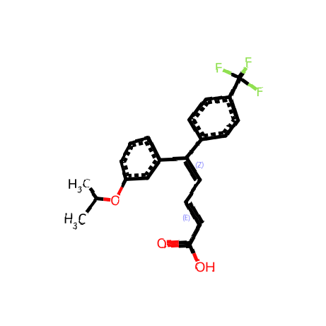 CC(C)Oc1cccc(/C(=C\C=C\C(=O)O)c2ccc(C(F)(F)F)cc2)c1